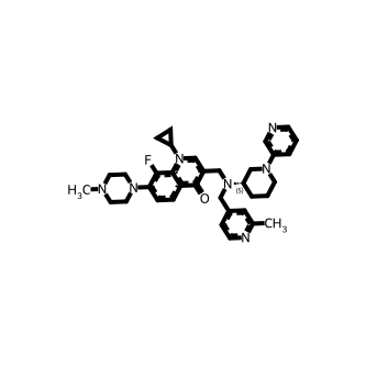 Cc1cc(CN(Cc2cn(C3CC3)c3c(F)c(N4CCN(C)CC4)ccc3c2=O)[C@H]2CCCN(c3cccnc3)C2)ccn1